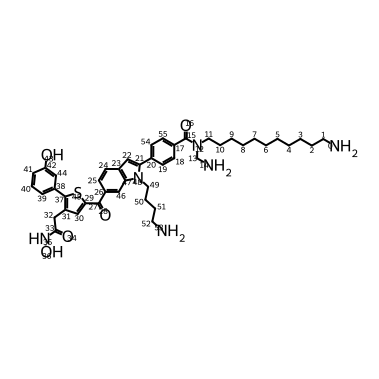 NCCCCCCCCCCCN(CN)C(=O)c1ccc(-c2cc3ccc(C(=O)c4cc(CC(=O)NO)c(-c5cccc(O)c5)s4)cc3n2CCCCN)cc1